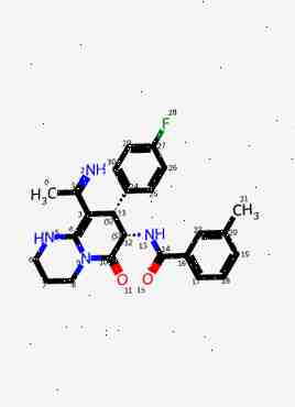 CC(=N)C1=C2NCCCN2C(=O)[C@@H](NC(=O)c2cccc(C)c2)[C@H]1c1ccc(F)cc1